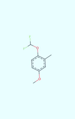 COc1ccc(OC(F)F)c(C)c1